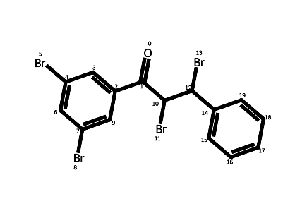 O=C(c1cc(Br)cc(Br)c1)C(Br)C(Br)c1ccccc1